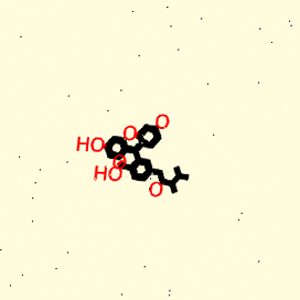 CC(C)C(C)C(=O)Cc1ccc(C(=O)O)c(-c2c3ccc(=O)cc-3oc3cc(O)ccc23)c1